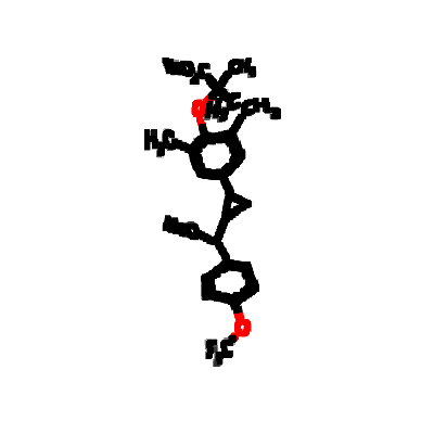 CCOC(=O)C(C)(C)Oc1c(C)cc(C2CC2C(OC)c2ccc(OC(F)(F)F)cc2)cc1C